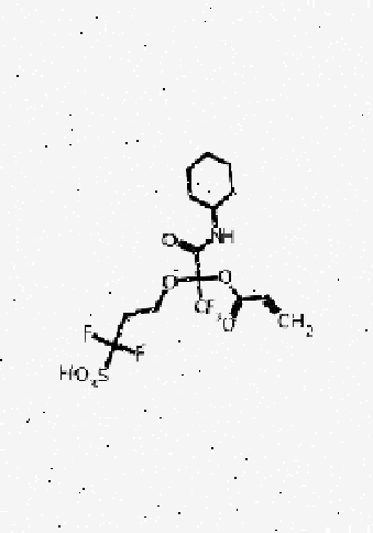 C=CC(=O)OC(OCCC(F)(F)S(=O)(=O)O)(C(=O)NC1CCCCC1)C(F)(F)F